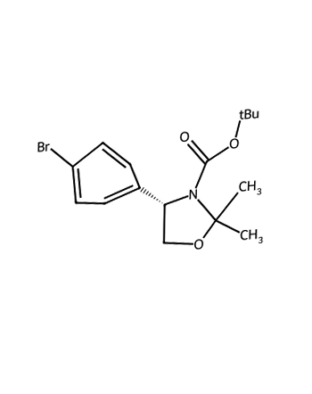 CC(C)(C)OC(=O)N1[C@@H](c2ccc(Br)cc2)COC1(C)C